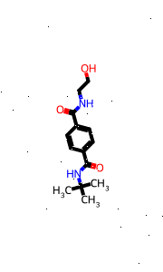 CC(C)(C)NC(=O)c1ccc(C(=O)NCCO)cc1